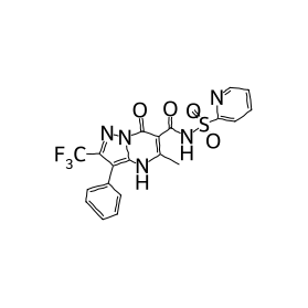 Cc1[nH]c2c(-c3ccccc3)c(C(F)(F)F)nn2c(=O)c1C(=O)NS(=O)(=O)c1ccccn1